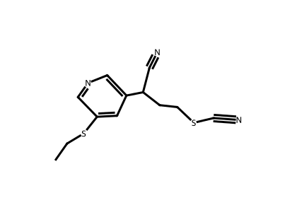 CCSc1cncc(C(C#N)CCSC#N)c1